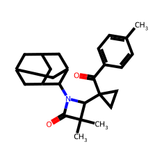 Cc1ccc(C(=O)C2(C3N(C4C5CC6CC(C5)CC4C6)C(=O)C3(C)C)CC2)cc1